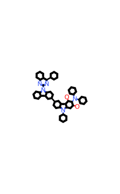 c1ccc(-c2nc(-n3c4ccccc4c4cc(-c5ccc6c(c5)c5c7c8c(cc5n6-c5ccccc5)Oc5ccccc5N8c5ccccc5O7)ccc43)nc3ccccc23)cc1